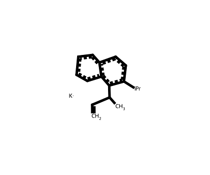 C=CC(C)c1c(C(C)C)ccc2ccccc12.[K]